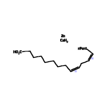 CCCCC/C=C\C/C=C\CCCCCCCC(=O)O.[CaH2].[Zn]